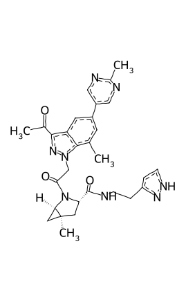 CC(=O)c1nn(CC(=O)N2[C@H](C(=O)NCCc3cc[nH]n3)C[C@@]3(C)C[C@@H]23)c2c(C)cc(-c3cnc(C)nc3)cc12